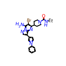 CCNC(=O)N1CCC(c2nc3c(-c4ccn(-c5ccccc5)c4)cnn3c(N)c2Br)CC1